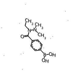 CCN(C(=O)c1ccc(B(O)O)cc1)N(C)C